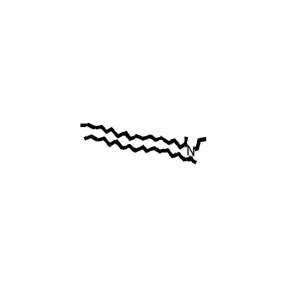 CCCCCCCCCCCCCCCCCC(C)N(CCC)C(C)CCCCCCCCCCCCCCCCC